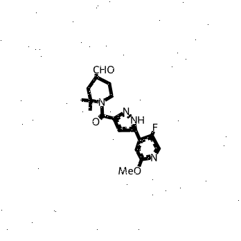 COc1cc(-c2cc(C(=O)N3CCC(C=O)CC3(C)C)n[nH]2)c(F)cn1